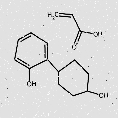 C=CC(=O)O.Oc1ccccc1C1CCC(O)CC1